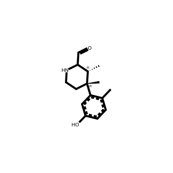 Cc1ccc(O)cc1[C@]1(C)CCNC(C=O)[C@@H]1C